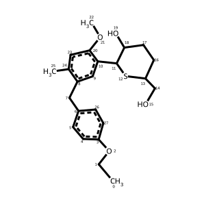 CCOc1ccc(Cc2cc(C3SC(CO)CCC3O)c(OC)cc2C)cc1